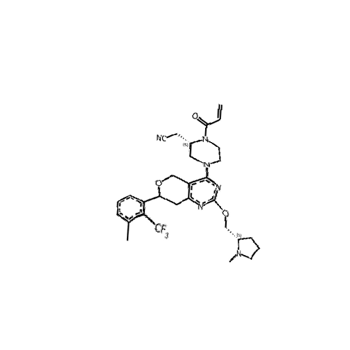 C=CC(=O)N1CCN(c2nc(OC[C@@H]3CCCN3C)nc3c2COC(c2cccc(C)c2C(F)(F)F)C3)C[C@@H]1CC#N